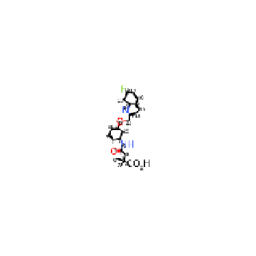 CC(C)(CC(=O)Nc1cccc(OCc2ccc3ccc(F)cc3n2)c1)C(=O)O